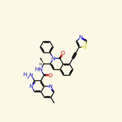 Cc1cnc2c(C(=O)N[C@@H](C)c3cc4cccc(C#Cc5cncs5)c4c(=O)n3-c3ccccc3)c(N)ncc2c1